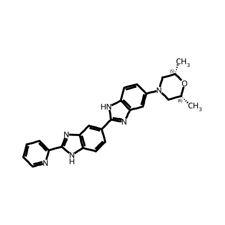 C[C@@H]1CN(c2ccc3[nH]c(-c4ccc5[nH]c(-c6ccccn6)nc5c4)nc3c2)C[C@H](C)O1